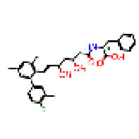 Cc1cc(C)c(C=CC(O)CC(O)CC(=O)N[C@@H](Cc2ccccc2)C(=O)O)c(-c2ccc(F)c(C)c2)c1